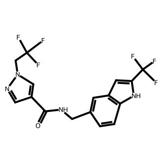 O=C(NCc1ccc2[nH]c(C(F)(F)F)cc2c1)c1cnn(CC(F)(F)F)c1